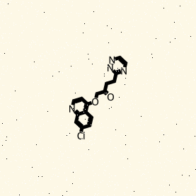 O=C(CCc1nccnn1)COc1ccnc2cc(Cl)ccc12